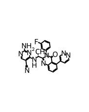 C[C@@H](Nc1nc(N)ncc1C#N)c1nc2cccc(-c3ccnnc3)c2c(=O)n1-c1cccc(F)c1